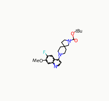 COc1cc2nccc(N3CCC4(CCN(C(=O)OC(C)(C)C)C4)CC3)c2cc1F